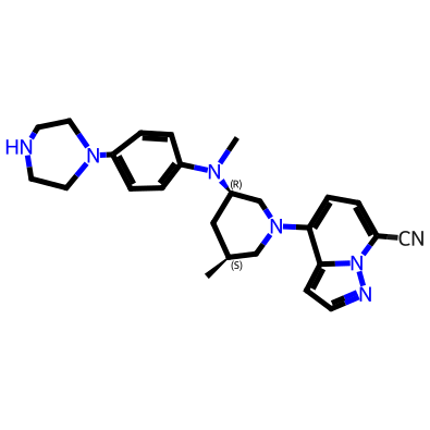 C[C@H]1C[C@@H](N(C)c2ccc(N3CCNCC3)cc2)CN(c2ccc(C#N)n3nccc23)C1